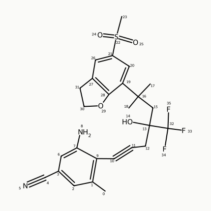 Cc1cc(C#N)cc(N)c1C#CCC(O)(CC(C)(C)c1cc(S(C)(=O)=O)cc2c1OCC2)C(F)(F)F